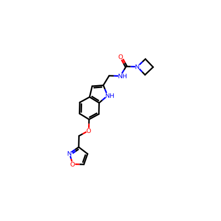 O=C(NCc1cc2ccc(OCc3ccon3)cc2[nH]1)N1CCC1